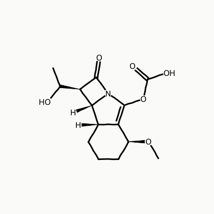 CO[C@H]1CCC[C@H]2C1=C(OC(=O)O)N1C(=O)[C@H](C(C)O)[C@@H]21